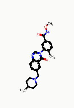 CONC(=O)c1ccc(C)c(-n2cnc3ccc(CN4CCC(C)CC4)cc3c2=O)c1